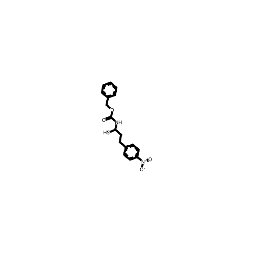 O=C(NC(S)CCc1ccc([N+](=O)[O-])cc1)OCc1ccccc1